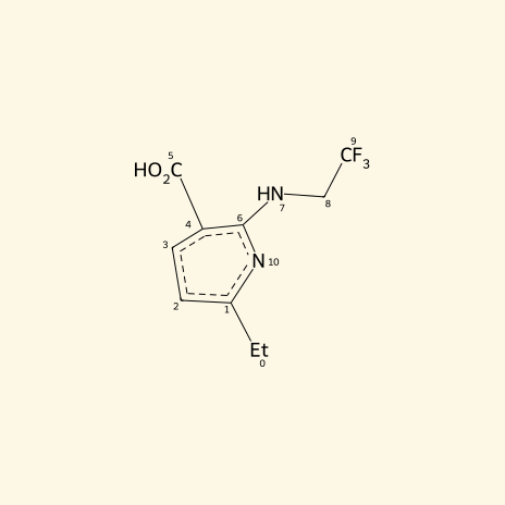 CCc1ccc(C(=O)O)c(NCC(F)(F)F)n1